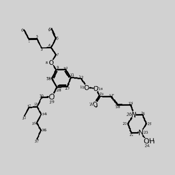 CCCCC(CC)COc1cc(COOC(=O)CCCN2CCN(O)CC2)cc(OCC(CC)CCCC)c1